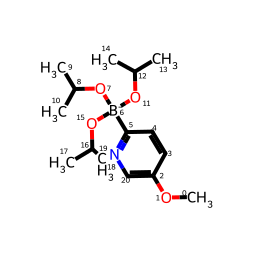 COc1ccc([B-](OC(C)C)(OC(C)C)OC(C)C)nc1